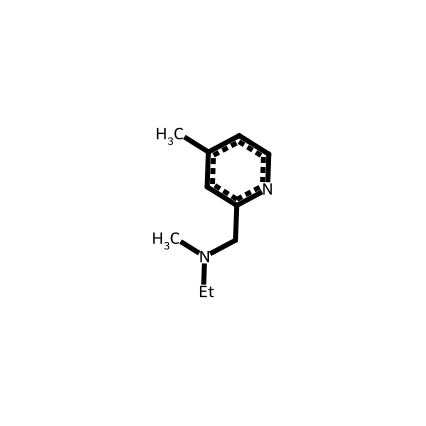 CCN(C)Cc1cc(C)ccn1